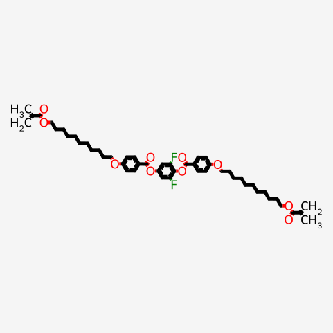 C=C(C)C(=O)OCCCCCCCCCCCOc1ccc(C(=O)Oc2cc(F)c(OC(=O)c3ccc(OCCCCCCCCCCCOC(=O)C(=C)C)cc3)c(F)c2)cc1